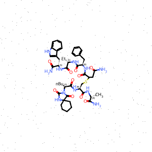 CCCC[C@@H](C(=O)N[C@@H](CSC(CC(N)=O)C(=O)N[C@H](Cc1ccccc1)C(=O)N[C@@H](CC)C(=O)N[C@@H](Cc1c[nH]c2ccccc12)C(N)=O)C(=O)N[C@H](C)C(N)=O)N1C(=O)NC2(CCCCC2)C1=O